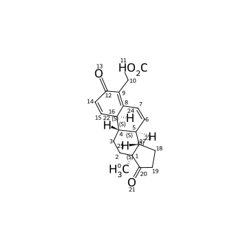 C[C@]12CC[C@H]3[C@@H](C=CC4=C(CC(=O)O)C(=O)C=C[C@@H]43)[C@@H]1CCC2=O